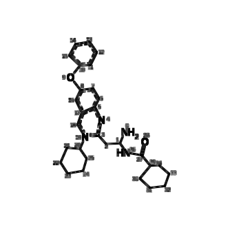 NC(Cc1nc2ccc(Oc3ccccc3)cc2c[n+]1C1CCCCC1)NC(=O)C1CCCCC1